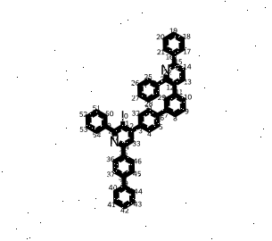 Ic1c(-c2ccc(-c3cccc(-c4ccc(-c5ccccc5)nc4-c4ccccc4)c3)cc2)cc(-c2ccc(-c3ccccc3)cc2)nc1-c1ccccc1